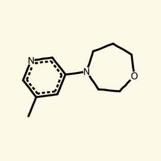 Cc1cncc(N2CCCOCC2)c1